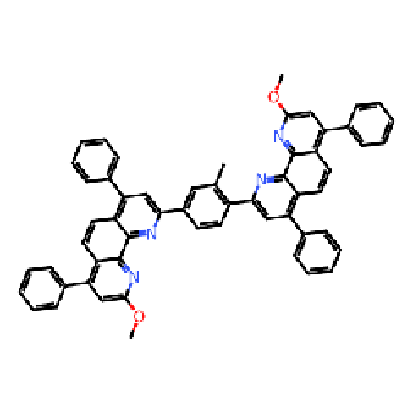 COc1cc(-c2ccccc2)c2ccc3c(-c4ccccc4)cc(-c4ccc(-c5cc(-c6ccccc6)c6ccc7c(-c8ccccc8)cc(OC)nc7c6n5)c(C)c4)nc3c2n1